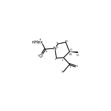 C=C(C)C1CN(C(=O)CCCCCC)CC[C@H]1C